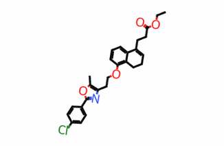 CCOC(=O)CCC1=CCCc2c(OCCc3nc(-c4ccc(Cl)cc4)oc3C)cccc21